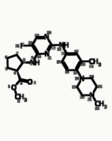 COC(=O)[C@H]1CCC[C@H]1Nc1nc(Nc2ccc(N3CCN(C)CC3)c(C)c2)ncc1F